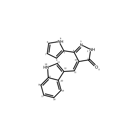 O=C1NN=C(c2ccc[nH]2)C1=Cc1c[nH]c2ccccc12